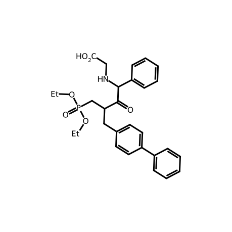 CCOP(=O)(CC(Cc1ccc(-c2ccccc2)cc1)C(=O)C(NCC(=O)O)c1ccccc1)OCC